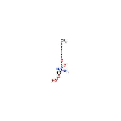 CCCCCCCCCCCCOCCCN(C=O)c1[nH]c2ccc(OCCO)cc2c1N